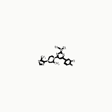 CCN(CC)c1nc(-c2ccc(F)c(Cl)c2)cc(N2CCN(c3ncsc3C(F)(F)F)CC2C)n1